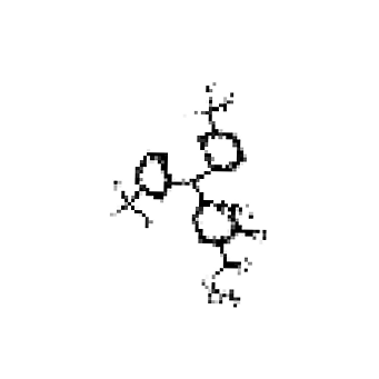 COC(=O)c1ccc(C(c2cccc(C(F)(F)F)c2)c2cccc(C(F)(F)F)c2)[nH]c1=O